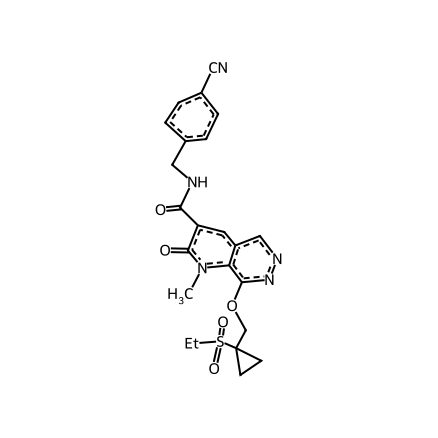 CCS(=O)(=O)C1(COc2nncc3cc(C(=O)NCc4ccc(C#N)cc4)c(=O)n(C)c23)CC1